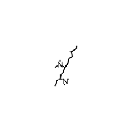 CC[CH]CCCC(CCC(CC)N(C)C)N(C)C